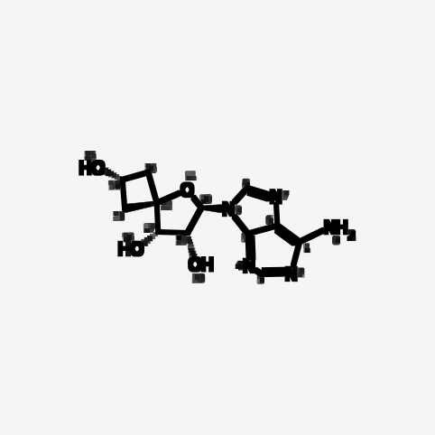 Nc1ncnc2c1ncn2[C@@H]1O[C@]2(C[C@H](O)C2)[C@@H](O)[C@H]1O